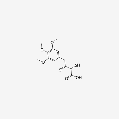 COc1cc(CC(=S)C(S)C(=O)O)cc(OC)c1OC